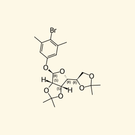 Cc1cc(O[C@H]2O[C@H]([C@H]3COC(C)(C)O3)[C@@H]3OC(C)(C)O[C@H]23)cc(C)c1Br